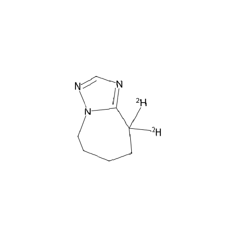 [2H]C1([2H])CCCCn2ncnc21